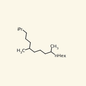 [CH2]CCCCCC(C)CCCC(C)CCCC(C)C